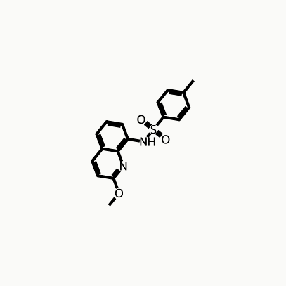 COc1ccc2cccc(NS(=O)(=O)c3ccc(C)cc3)c2n1